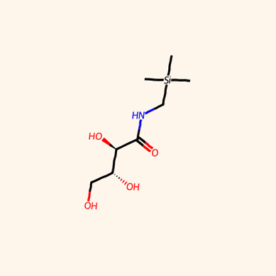 C[Si](C)(C)CNC(=O)[C@H](O)[C@H](O)CO